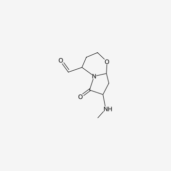 CNC1CC2OCCC(C=O)N2C1=O